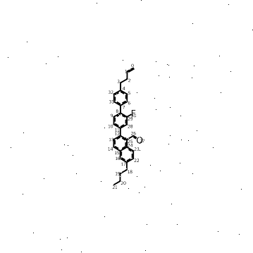 C=CCCc1ccc(-c2ccc(-c3ccc4cc(CCCC)ccc4c3C=O)cc2F)cc1